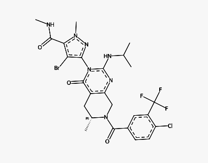 CNC(=O)c1c(Br)c(-n2c(NC(C)C)nc3c(c2=O)C[C@@H](C)N(C(=O)c2ccc(Cl)c(C(F)(F)F)c2)C3)nn1C